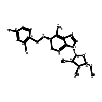 NC1=c2ncn([C@@H]3O[C@H](CO)[C@@H](O)[C@H]3O)c2=NCN1OCc1ccc(F)cc1F